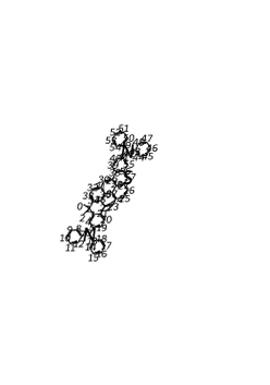 CC1(C)c2cc(N(c3ccccc3)c3ccccc3)ccc2-c2cc3ccc4c5c(cc6ccc1c2c6c35)-c1ccc(N(c2ccccc2)c2ccccc2)cc1S4